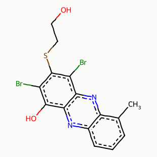 Cc1cccc2nc3c(O)c(Br)c(SCCO)c(Br)c3nc12